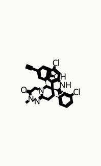 C#Cc1ccc(O)c([C@H]2N3CC(=O)N(C)N=C3C[C@@H](c3cccc(Cl)c3)[C@]23C(=O)Nc2cc(Cl)ccc23)c1